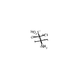 CC(C)(N)C(Cl)(Cl)S(=O)(=O)O